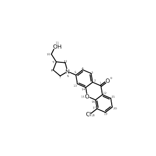 O=c1c2ccc(N3CCC(CO)C3)cc2oc2c(Cl)cccc12